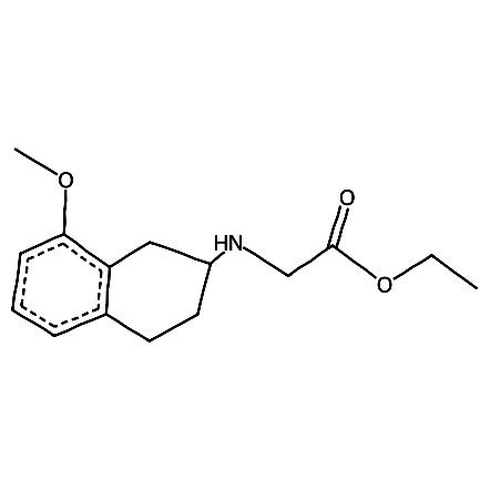 CCOC(=O)CNC1CCc2cccc(OC)c2C1